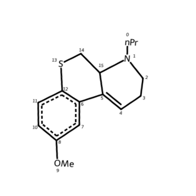 CCCN1CCC=C2c3cc(OC)ccc3SCC21